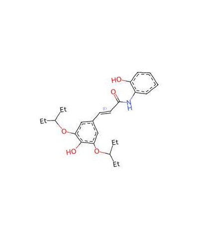 CCC(CC)Oc1cc(/C=C/C(=O)Nc2ccccc2O)cc(OC(CC)CC)c1O